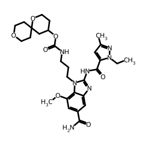 CCn1nc(C)cc1C(=O)Nc1nc2cc(C(N)=O)cc(OC)c2n1CCCNC(=O)OC1CCOC2(CCOCC2)C1